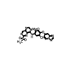 COc1cc(Oc2ccn3ncnc3c2)c(C)cc1Nc1ncnc2cnc(S(C)(=O)=O)nc12